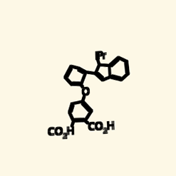 CC(C)C1C(c2ccccc2Oc2ccc(C(=O)O)c(C(=O)O)c2)=Cc2ccccc21